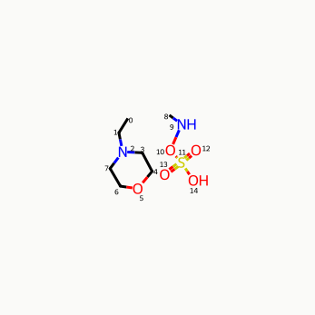 CCN1CCOCC1.CNOS(=O)(=O)O